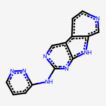 c1cnnc(Nc2ncc3c(n2)[nH]c2cnccc23)c1